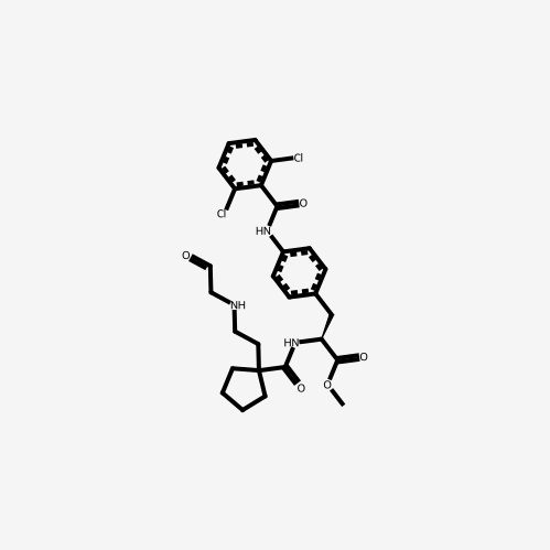 COC(=O)[C@H](Cc1ccc(NC(=O)c2c(Cl)cccc2Cl)cc1)NC(=O)C1(CCNCC=O)CCCC1